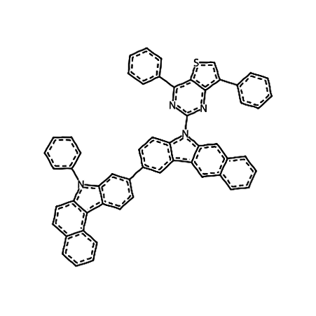 c1ccc(-c2csc3c(-c4ccccc4)nc(-n4c5ccc(-c6ccc7c8c9ccccc9ccc8n(-c8ccccc8)c7c6)cc5c5cc6ccccc6cc54)nc23)cc1